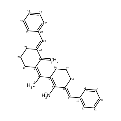 C=C1/C(=C(/C)C2=C(N)/C(=C/c3ccccc3)CCC2)CCC/C1=C\c1ccccc1